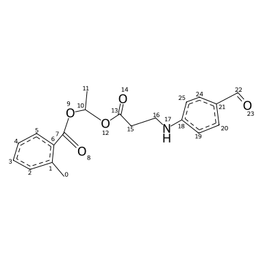 Cc1ccccc1C(=O)OC(C)OC(=O)CCNc1ccc(C=O)cc1